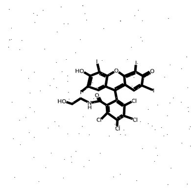 O=C(NCCO)c1c(Cl)c(Cl)c(Cl)c(Cl)c1-c1c2cc(I)c(=O)c(I)c-2oc2c(I)c(O)c(I)cc12